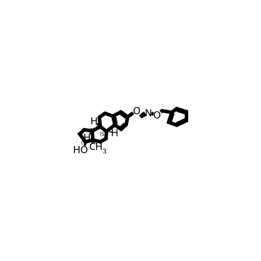 C[C@]12CC[C@@H]3c4ccc(OC=NOCc5ccccc5)cc4CC[C@H]3[C@@H]1CC[C@@H]2O